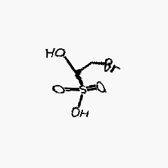 O=S(=O)(O)C(O)CBr